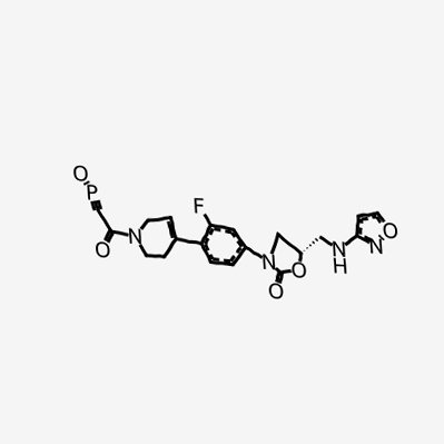 O=P#CC(=O)N1CC=C(c2ccc(N3C[C@H](CNc4ccon4)OC3=O)cc2F)CC1